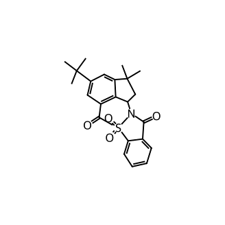 CC(=O)c1cc(C(C)(C)C)cc2c1C(N1C(=O)c3ccccc3S1(=O)=O)CC2(C)C